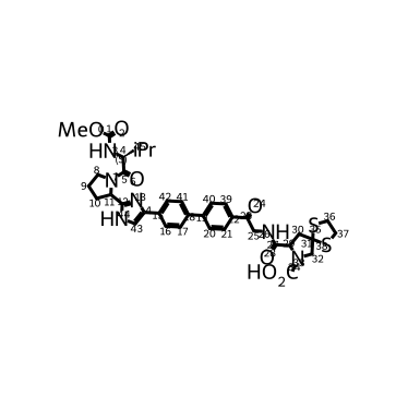 COC(=O)N[C@H](C(=O)N1CCCC1c1nc(-c2ccc(-c3ccc(C(=O)CNC(=O)C4CC5(CN4C(=O)O)SCCS5)cc3)cc2)c[nH]1)C(C)C